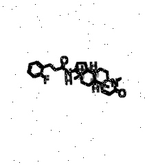 CN1C(=O)C=C[C@@]2(C)C1CC[C@@H]1[C@H]2CC[C@]2(C)C(NC(=O)CCc3ccccc3F)CC[C@@H]12